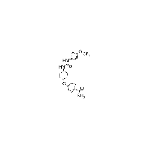 NC(=O)c1ccc(O[C@H]2CC[C@H](NC(=O)Nc3ccc(OC(F)(F)F)cc3)CC2)cc1